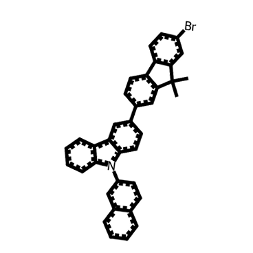 CC1(C)c2cc(Br)ccc2-c2ccc(-c3ccc4c(c3)c3ccccc3n4-c3ccc4ccccc4c3)cc21